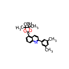 Cc1cc(C)cc(-c2ccc3c(B4OC(C)(C)C(C)(C)O4)cccc3n2)c1